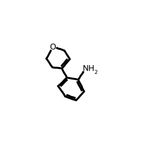 Nc1ccccc1C1=CCOCC1